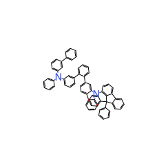 c1ccc(-c2cccc(N(c3ccccc3)c3cccc(-c4ccccc4-c4ccc5c6ccccc6n(-c6cccc7c6C(c6ccccc6)(c6ccccc6)c6ccccc6-7)c5c4)c3)c2)cc1